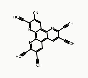 C#Cc1cc2c3cc(C#C)c(C#C)nc3c3nc(C#C)c(C#N)cc3c2nc1C#C